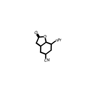 CCCC1CC(C#N)CC2CC(=O)OC12